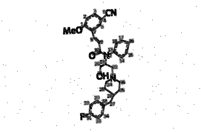 COc1ccc(C#N)cc1/C=C/C(=O)N(c1ccccc1)[C@H](CO)CN1CCC(Cc2ccc(F)cc2)CC1